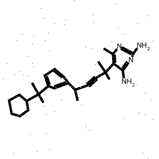 Cc1nc(N)nc(N)c1C(C)(C)C#CC(C)c1cccc(C(C)(C)C2CCCCC2)c1